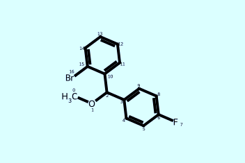 COC(c1ccc(F)cc1)c1ccccc1Br